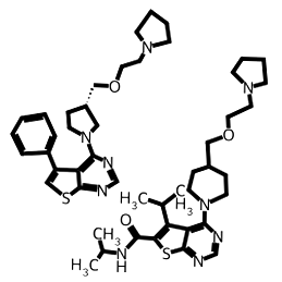 CC(C)NC(=O)c1sc2ncnc(N3CCC(COCCN4CCCC4)CC3)c2c1C(C)C.c1ccc(-c2csc3ncnc(N4CC[C@H](COCCN5CCCC5)C4)c23)cc1